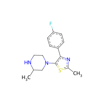 Cc1nc(-c2ccc(F)cc2)c(N2CCNC(C)C2)s1